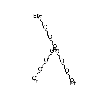 CCOCCCOCCCOCCCOP(OCCCOCCCOCCCOCC)OCCCOCCCOCCCOCC